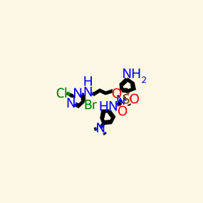 CN(C)c1ccc(NC(=O)N=S(C)(=O)c2ccc(N)cc2OCCCCNc2nc(Cl)ncc2Br)cc1